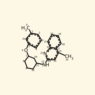 Cc1cccc(OC2[CH]CCC(Nc3cc(C)c4ccccc4n3)C2)c1